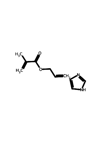 C=CCOC(=O)C(=C)C.c1c[nH]cn1